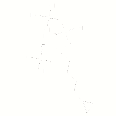 C[Si](C)(C)O[Si](C)(C)O[Si](C)(CCCOC1CO1)O[Si](C)(C)C